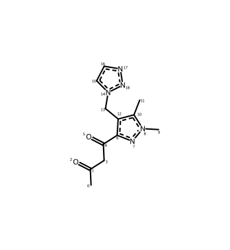 CC(=O)CC(=O)c1nn(C)c(C)c1Cn1ccnn1